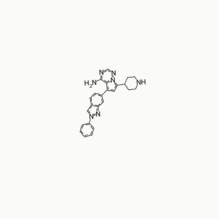 Nc1ncnn2c(C3CCNCC3)cc(-c3ccc4cn(-c5ccccc5)nc4c3)c12